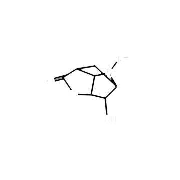 CC1C2OC(=O)C3CC1N(C)C32